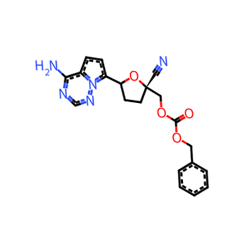 N#C[C@@]1(COC(=O)OCc2ccccc2)CCC(c2ccc3c(N)ncnn23)O1